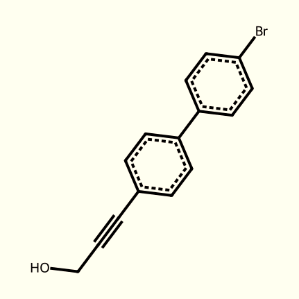 OCC#Cc1ccc(-c2ccc(Br)cc2)cc1